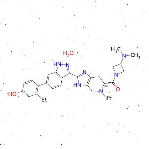 CCc1cc(O)ccc1-c1ccc2c(-c3nc4c([nH]3)CN(C(C)C)[C@H](C(=O)N3CC(N(C)C)C3)C4)n[nH]c2c1.O